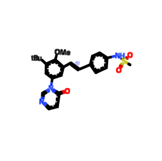 COc1c(/C=C/c2ccc(NS(C)(=O)=O)cc2)cc(-n2cnccc2=O)cc1C(C)(C)C